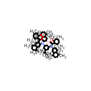 CC(C)(C)c1cc2c3c(c1)N(c1ccc4c(c1)C(C)(C)CCC4(C)C)c1c(oc4c1C(C)(C)CCC4(C)C)B3c1cc3c(cc1N2c1cc2c(cc1-c1cccc4c1C(C)(C)CCC4(C)C)C(C)(C)CCC2(C)C)C(C)(C)CCC3(C)C